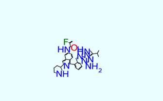 C=C(F)C(=O)Nc1ccc2c(-c3ccccc3CNC3=NC(N)=NC4=C(C(C)C)CNN34)nc(C3CCCNC3)cc2c1